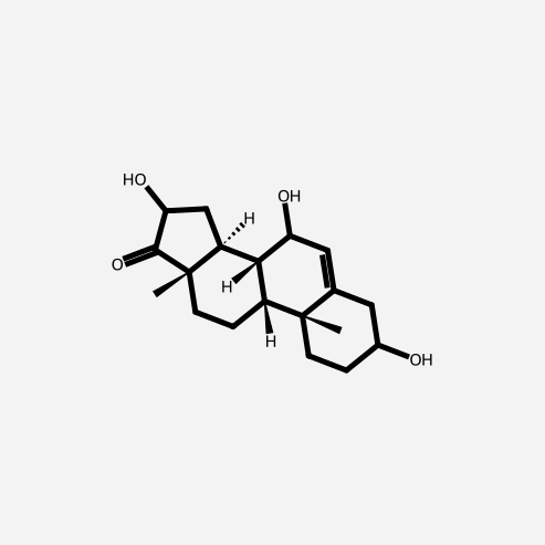 C[C@]12CCC(O)CC1=CC(O)[C@@H]1[C@H]2CC[C@]2(C)C(=O)C(O)C[C@@H]12